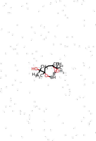 CC(C)(O)C1(C)CCC2(C)OB(BO1)OC2(C)C